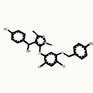 COc1ccc(COc2cc(Oc3c(C(O)c4ccc(C#N)cc4)c(C)nn3C)c(Cl)cc2Cl)cc1